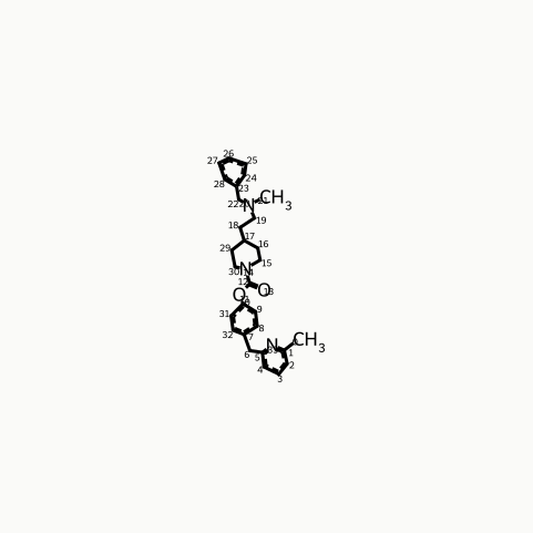 Cc1cccc(Cc2ccc(OC(=O)N3CCC(CCN(C)Cc4ccccc4)CC3)cc2)n1